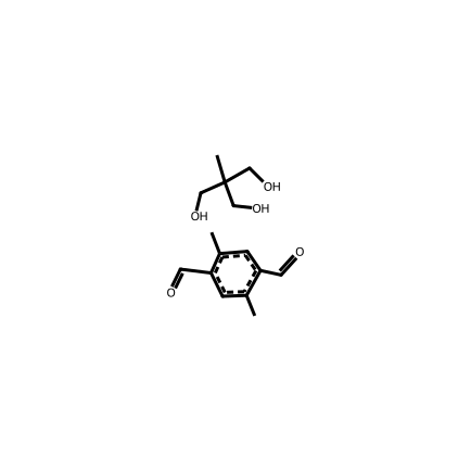 CC(CO)(CO)CO.Cc1cc(C=O)c(C)cc1C=O